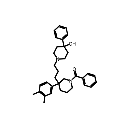 Cc1ccc(C2(CCCN3CCC(O)(c4ccccc4)CC3)CCCN(C(=O)c3ccccc3)C2)cc1C